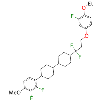 CCOc1ccc(OCCC(F)(F)C2CCC(C3CCC(c4ccc(OC)c(F)c4F)CC3)CC2)cc1F